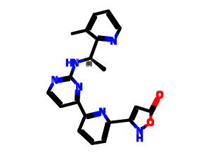 Cc1cccnc1[C@@H](C)Nc1nccc(-c2cccc(-c3cc(=O)o[nH]3)n2)n1